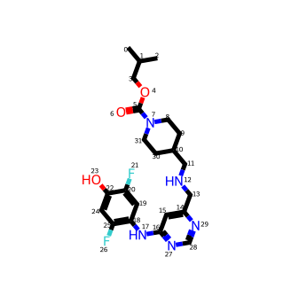 CC(C)COC(=O)N1CCC(CNCc2cc(Nc3cc(F)c(O)cc3F)ncn2)CC1